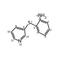 Nc1ccccc1Sc1cccnc1